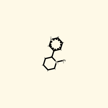 CC(C)N1CCCCC1c1cccnc1